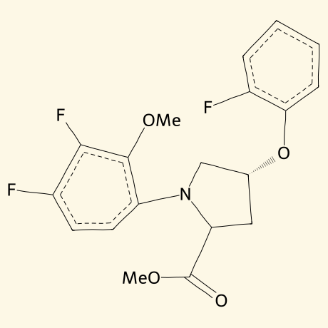 COC(=O)C1C[C@@H](Oc2ccccc2F)CN1c1ccc(F)c(F)c1OC